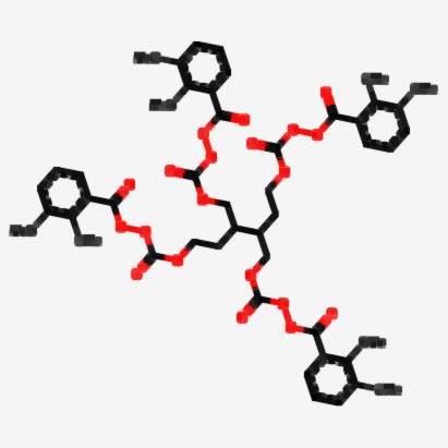 COc1cccc(C(=O)OOC(=O)OCCC(COC(=O)OOC(=O)c2cccc(OC)c2OC)C(CCOC(=O)OOC(=O)c2cccc(OC)c2OC)COC(=O)OOC(=O)c2cccc(OC)c2OC)c1OC